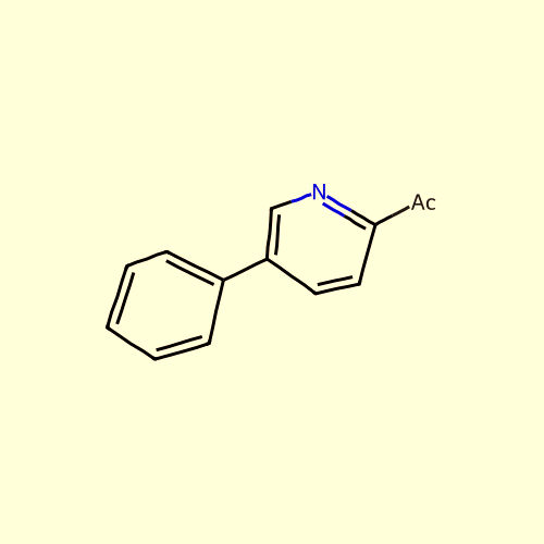 CC(=O)c1ccc(-c2ccccc2)cn1